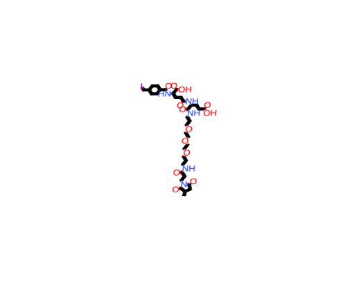 CC1CC(=O)N(CCC(=O)NCCCOCCOCCOCCCNC(=O)C(CCC(=O)O)NC(=O)CCC(NC(=O)C2CCC(CI)CC2)C(=O)O)C1=O